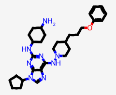 NC1CCC(Nc2nc(NN3CCC(CCCOc4ccccc4)CC3)c3ncn(C4CCCC4)c3n2)CC1